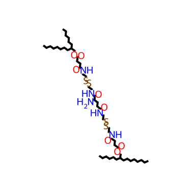 CCCCCCCCC(CCCCCC)COC(=O)CCC(=O)NCCSSCCNC(=O)CCC(N)C(=O)NCCSSCCNC(=O)CCC(=O)OCC(CCCCCC)CCCCCCCC